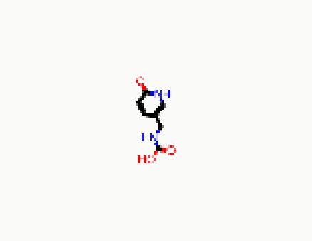 O=C(O)NCc1ccc(=O)[nH]c1